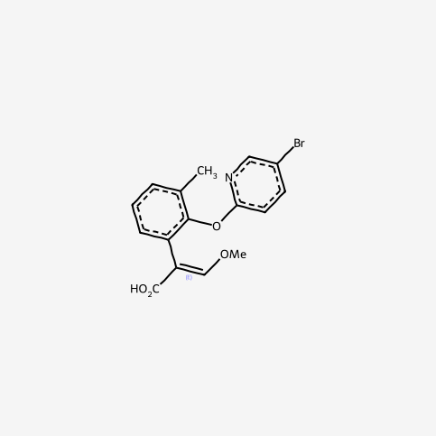 CO/C=C(/C(=O)O)c1cccc(C)c1Oc1ccc(Br)cn1